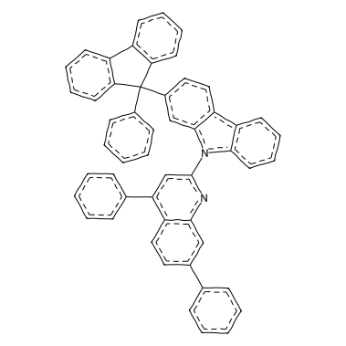 c1ccc(-c2ccc3c(-c4ccccc4)cc(-n4c5ccccc5c5ccc(C6(c7ccccc7)c7ccccc7-c7ccccc76)cc54)nc3c2)cc1